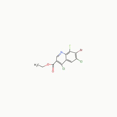 CCOC(=O)c1cnc2c(F)c(Br)c(Cl)cc2c1Cl